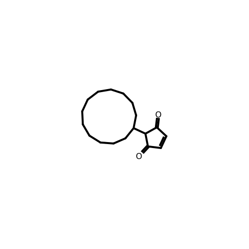 O=C1C=CC(=O)C1C1CCCCCCCCCCCC1